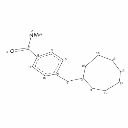 CNC(=O)c1ccc(CC2CCCCCCC2)cc1